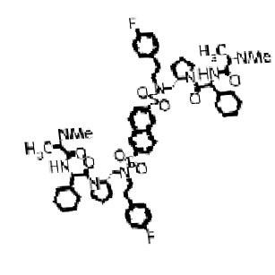 CN[C@@H](C)C(=O)N[C@H](C(=O)N1CCC[C@H]1CN(CCc1ccc(F)cc1)S(=O)(=O)c1ccc2cc(S(=O)(=O)N(CCc3ccc(F)cc3)C[C@@H]3CCCN3C(=O)[C@@H](NC(=O)[C@H](C)NC)C3CCCCC3)ccc2c1)C1CCCCC1